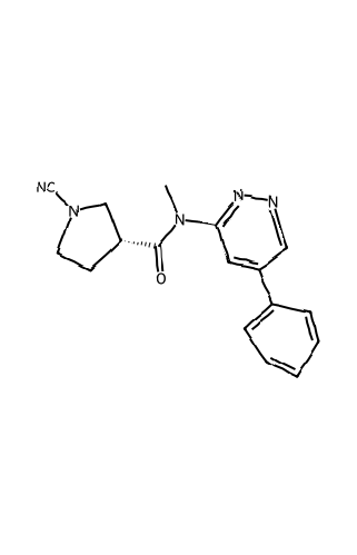 CN(C(=O)[C@@H]1CCN(C#N)C1)c1cc(-c2ccccc2)cnn1